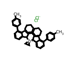 Cc1ccc(-c2cccc3c2C=C(C2CCCCC2)[CH]3[Zr+2]2([CH]3C(C4CCCCC4)=Cc4c(-c5ccc(C)cc5)cccc43)[CH2][CH2]2)cc1.[Cl-].[Cl-]